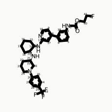 O=C(Nc1cccc(-c2ccnc(N[C@@H]3CCCC[C@H]3N[C@H]3CCCN(c4ccc(C(F)(F)F)cc4)C3)c2)c1)OCCF